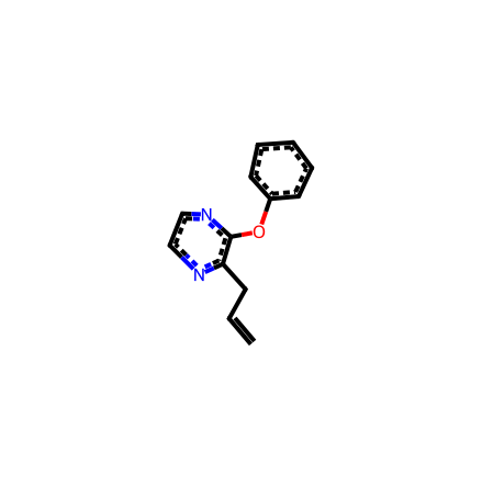 C=CCc1nccnc1Oc1ccccc1